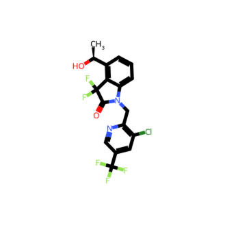 C[C@H](O)c1cccc2c1C(F)(F)C(=O)N2Cc1ncc(C(F)(F)F)cc1Cl